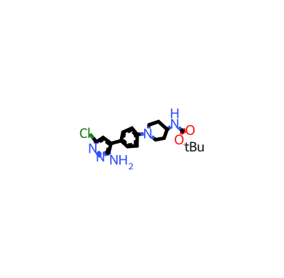 CC(C)(C)OC(=O)NC1CCN(c2ccc(-c3cc(Cl)nnc3N)cc2)CC1